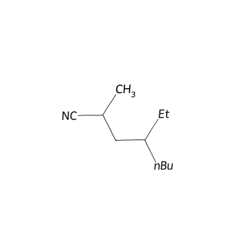 CCCCC(CC)CC(C)C#N